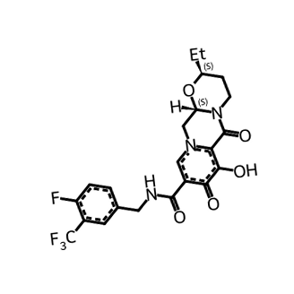 CC[C@H]1CCN2C(=O)c3c(O)c(=O)c(C(=O)NCc4ccc(F)c(C(F)(F)F)c4)cn3C[C@@H]2O1